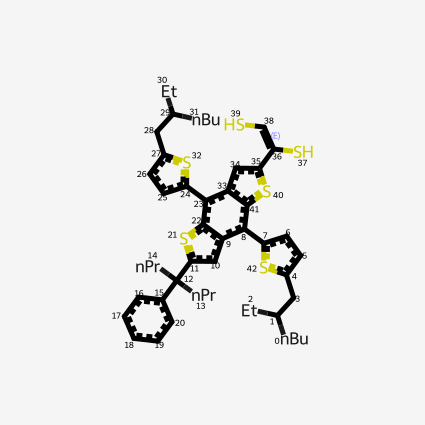 CCCCC(CC)Cc1ccc(-c2c3cc(C(CCC)(CCC)c4ccccc4)sc3c(-c3ccc(CC(CC)CCCC)s3)c3cc(/C(S)=C\S)sc23)s1